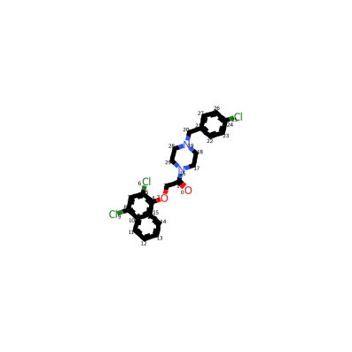 O=C(COc1c(Cl)cc(Cl)c2ccccc12)N1CCN(Cc2ccc(Cl)cc2)CC1